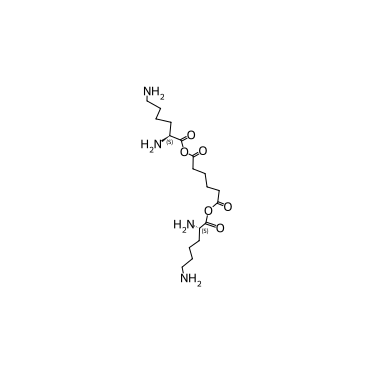 NCCCC[C@H](N)C(=O)OC(=O)CCCCC(=O)OC(=O)[C@@H](N)CCCCN